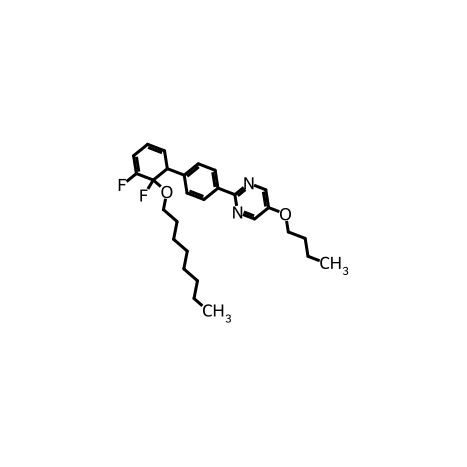 CCCCCCCCOC1(F)C(F)=CC=CC1c1ccc(-c2ncc(OCCCC)cn2)cc1